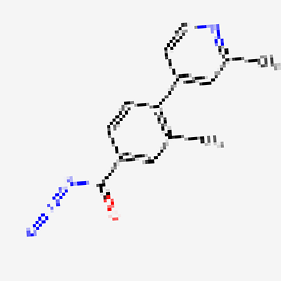 Cc1cc(-c2ccc(C(=O)N=[N+]=[N-])cc2C)ccn1